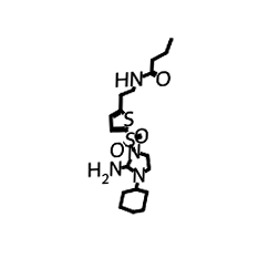 CCCC(=O)NCCc1ccc(S(=O)(=O)N2CCN(C3CCCCC3)C2N)s1